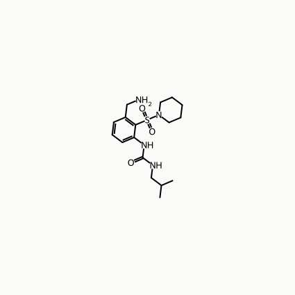 CC(C)CNC(=O)Nc1cccc(CN)c1S(=O)(=O)N1CCCCC1